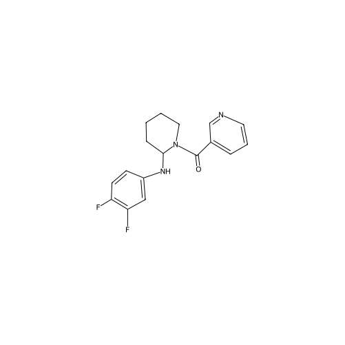 O=C(c1cccnc1)N1CCCCC1Nc1ccc(F)c(F)c1